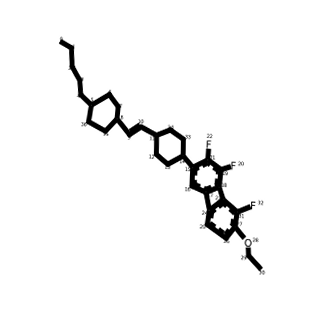 CCCCCC1CCC(/C=C/C2CCC(c3cc4c(c(F)c3F)-c3c-4ccc(OCC)c3F)CC2)CC1